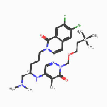 CN(C)C[C@@H](CCCn1ccc2cc(Br)c(F)cc2c1=O)Nc1cnn(COCC[Si](C)(C)C)c(=O)c1C(F)(F)F